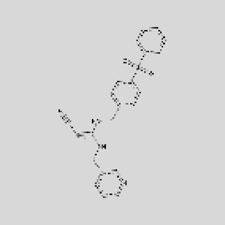 N#C/N=C(\NCc1ccc(S(=O)(=O)c2ccccc2)cc1)NCc1cccnc1